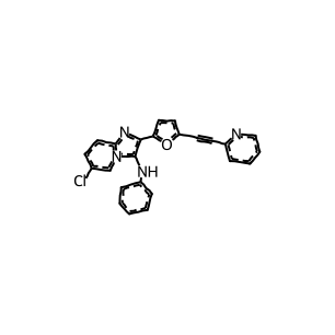 Clc1ccc2nc(-c3ccc(C#Cc4ccccn4)o3)c(Nc3ccccc3)n2c1